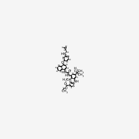 CCOC(=O)c1csc(Nc2cc(C(C)(C)C)cc(NC(=O)Nc3ccc(Oc4ccnc(NCC5CC5)n4)c4ccccc34)c2OC)n1